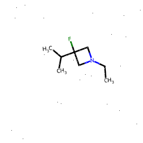 CCN1CC(F)(C(C)C)C1